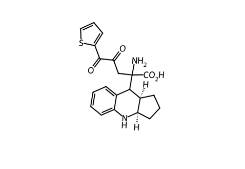 NC(CC(=O)C(=O)c1cccs1)(C(=O)O)C1c2ccccc2N[C@@H]2CCC[C@H]12